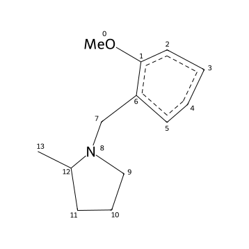 COc1ccccc1CN1CCCC1C